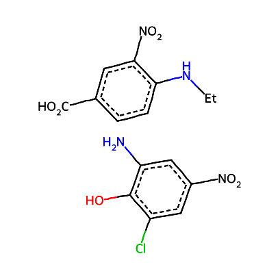 CCNc1ccc(C(=O)O)cc1[N+](=O)[O-].Nc1cc([N+](=O)[O-])cc(Cl)c1O